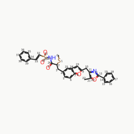 CSC(Cc1ccc2oc(Cc3nc(-c4ccccc4)oc3C)cc2c1)C(=O)NS(=O)(=O)C=Cc1ccccc1